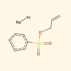 C=CCOS(=O)(=O)c1ccccc1.C[C](=O)[Na]